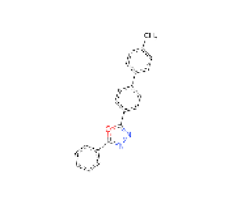 Cc1ccc(-c2ccc(-c3nnc(-c4ccccc4)o3)cc2)cc1